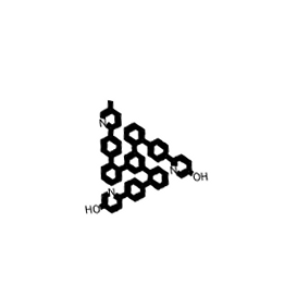 Cc1ccc(-c2ccc(-c3ccccc3-c3cc(-c4ccccc4-c4ccc(-c5ccc(O)cn5)cc4)cc(-c4ccccc4-c4ccc(-c5ccc(O)cn5)cc4)c3)cc2)nc1